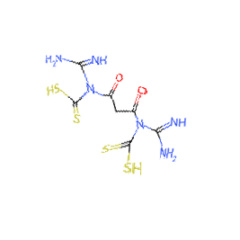 N=C(N)N(C(=O)CC(=O)N(C(=N)N)C(=S)S)C(=S)S